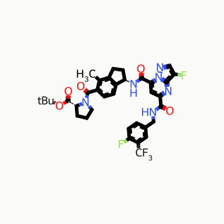 Cc1c(C(=O)N2CCC[C@@H]2C(=O)OC(C)(C)C)ccc2c1CC[C@@H]2NC(=O)c1cc(C(=O)NCc2ccc(F)c(C(F)(F)F)c2)nc2c(F)cnn12